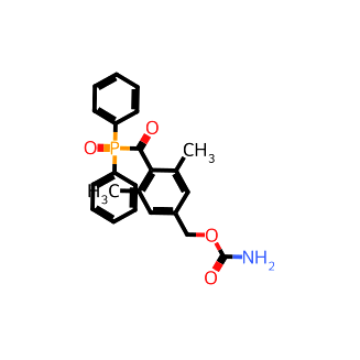 Cc1cc(COC(N)=O)cc(C)c1C(=O)P(=O)(c1ccccc1)c1ccccc1